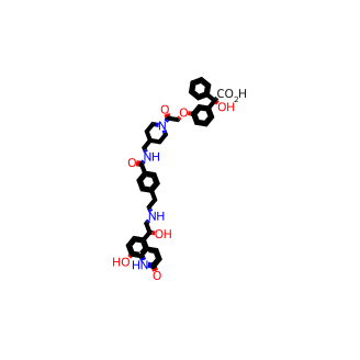 O=C(NCC1CCN(C(=O)COc2cccc(C(O)(C(=O)O)c3ccccc3)c2)CC1)c1ccc(CCNCC(O)c2ccc(O)c3[nH]c(=O)ccc23)cc1